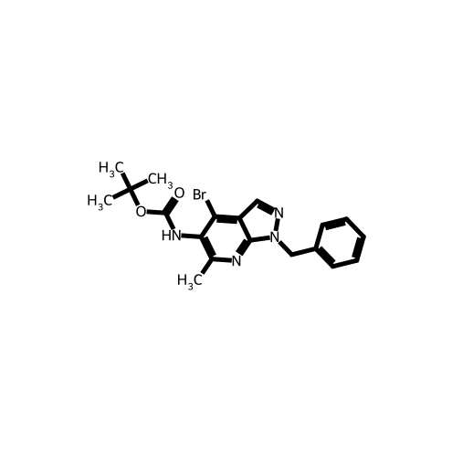 Cc1nc2c(cnn2Cc2ccccc2)c(Br)c1NC(=O)OC(C)(C)C